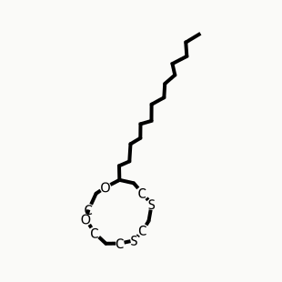 CCCCCCCCCCCCCCC1CCSCCSCCCOCCO1